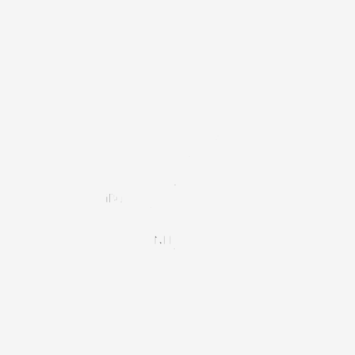 C=C(C)C1=CC1(C)C(N)C(C)CC